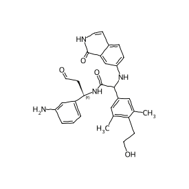 Cc1cc(C(Nc2ccc3cc[nH]c(=O)c3c2)C(=O)N[C@H](CC=O)c2cccc(N)c2)cc(C)c1CCO